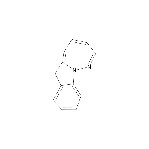 C1=CC=C2Cc3ccccc3N2N=C1